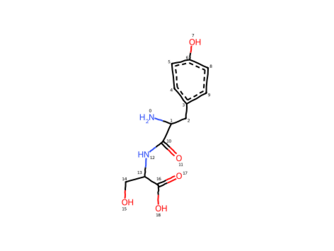 NC(Cc1ccc(O)cc1)C(=O)NC(CO)C(=O)O